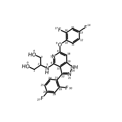 OCC(CO)Nc1nc(Oc2ccc(F)cc2F)cc2[nH]nc(-c3ccc(F)cc3F)c12